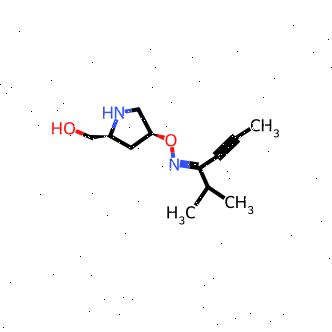 CC#C/C(=N\O[C@@H]1CN[C@H](CO)C1)C(C)C